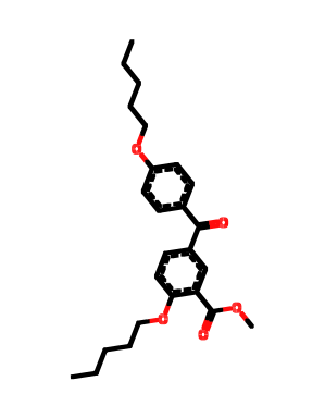 CCCCCOc1ccc(C(=O)c2ccc(OCCCCC)c(C(=O)OC)c2)cc1